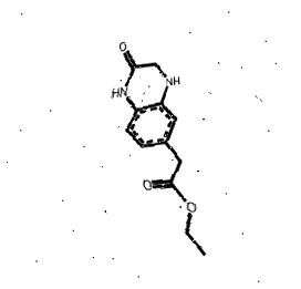 CCOC(=O)Cc1ccc2c(c1)NCC(=O)N2